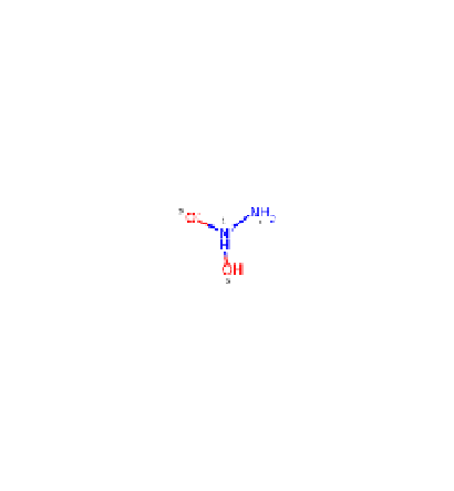 N[NH+]([O-])O